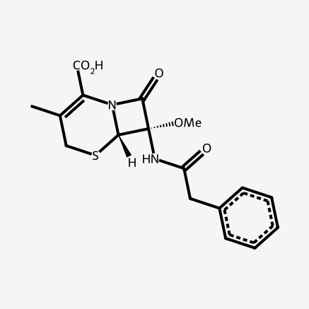 CO[C@@]1(NC(=O)Cc2ccccc2)C(=O)N2C(C(=O)O)=C(C)CS[C@H]21